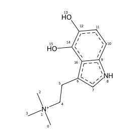 C[N+](C)(C)CCc1c[nH]c2ccc(O)c(O)c12